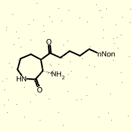 CCCCCCCCCCCCCC(=O)C1CCCNC(=O)[C@H]1N